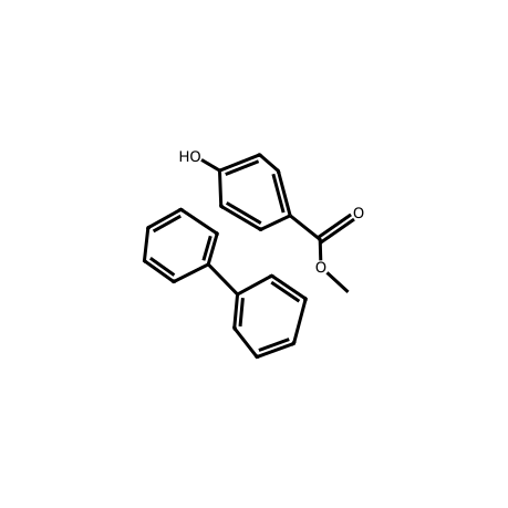 COC(=O)c1ccc(O)cc1.c1ccc(-c2ccccc2)cc1